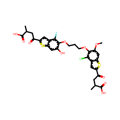 COc1cc2sc(C(=O)CC(C)C(=O)O)cc2c(Cl)c1OCCCOc1c(O)cc2sc(C(=O)CC(C)C(=O)O)cc2c1F